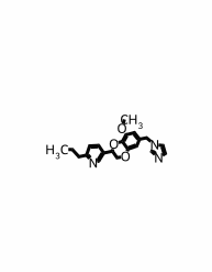 CCCc1ccc(C2COc3cc(Cn4ccnc4)cc(OC)c3O2)cn1